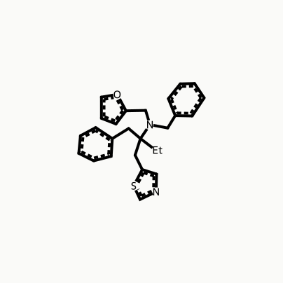 [CH2]CC(Cc1ccccc1)(Cc1cncs1)N(Cc1ccccc1)Cc1ccco1